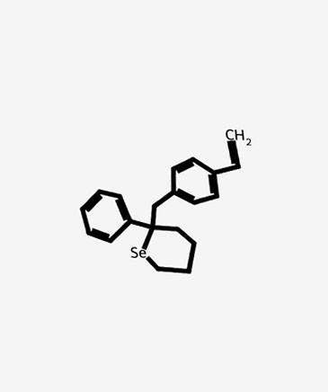 C=Cc1ccc(CC2(c3ccccc3)CCCC[Se]2)cc1